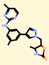 Cc1cc(Nc2nccc(C)n2)cc(-c2cnn(CC3OC(=O)NC3C)c2)c1